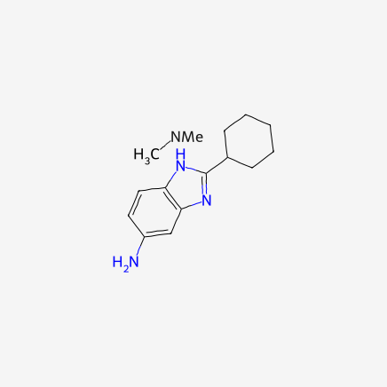 CNC.Nc1ccc2[nH]c(C3CCCCC3)nc2c1